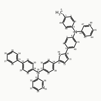 Cc1ccc(N(c2ccc(-c3ccc(-c4ccc(N(c5ccc(-c6ccccc6)cc5)c5cccnc5)cc4)s3)cc2)c2cccnc2)cc1